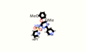 COc1ccccc1Oc1c(NS(=O)(=O)c2ccc(C(C)C)cn2)nc(-c2ccncc2)nc1OC